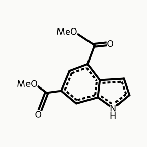 COC(=O)c1cc(C(=O)OC)c2cc[nH]c2c1